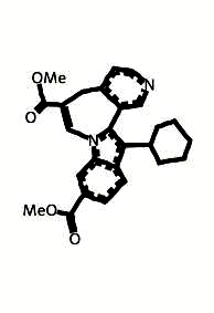 COC(=O)C1=Cn2c(c(C3CCCCC3)c3ccc(C(=O)OC)cc32)-c2cnccc2C1